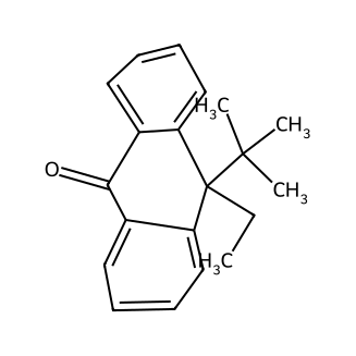 CCC1(C(C)(C)C)c2ccccc2C(=O)c2ccccc21